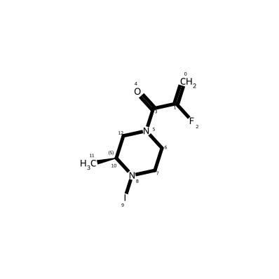 C=C(F)C(=O)N1CCN(I)[C@@H](C)C1